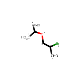 CCCCCCC(OCC(Br)C=O)C(=O)O